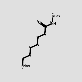 CCCCCCCCCCCCCCCC(=O)NCCCCCC